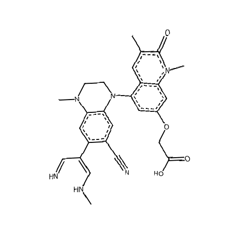 CN/C=C(\C=N)c1cc2c(cc1C#N)N(c1cc(OCC(=O)O)cc3c1cc(C)c(=O)n3C)CCN2C